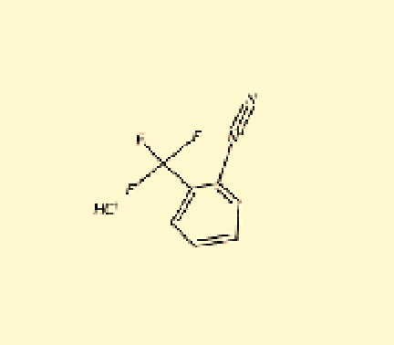 Cl.N#[N+]c1ccccc1C(F)(F)F